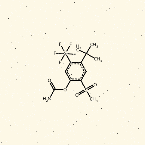 CC(C)(C)c1cc(S(C)(=O)=O)c(OC(N)=O)cc1S(F)(F)(F)(F)F